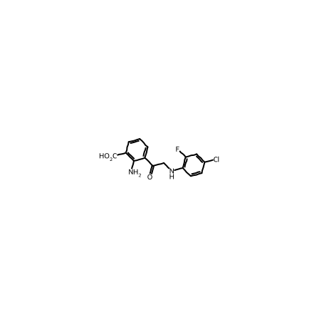 Nc1c(C(=O)O)cccc1C(=O)CNc1ccc(Cl)cc1F